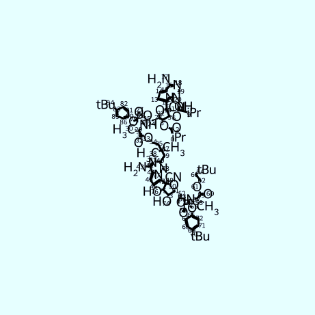 CC(C)C(=O)O[C@H]1[C@@H](OC(O)C(C)C)[C@](C#N)(c2ccc3c(N)ncnn23)O[C@@H]1COP(=O)(N[C@@H](C)C(=O)OCCC(C)(C)Cc1nc(N)c2ccc([C@]3(C#N)O[C@H](COP(=O)(N[C@@H](C)C(=O)OCCC(C)(C)C)Oc4ccc(C(C)(C)C)cc4)[C@@H](O)[C@H]3O)n2n1)Oc1ccc(C(C)(C)C)cc1